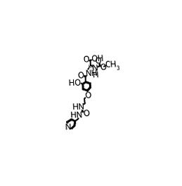 COC(=O)N[C@@H](CNC(=O)c1ccc(OCCNC(=O)NCc2ccncc2)cc1O)C(=O)O